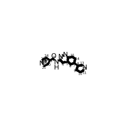 O=C(Nc1cc2cc(-c3cccnc3)ccc2nn1)C12CCN(CC1)CC2